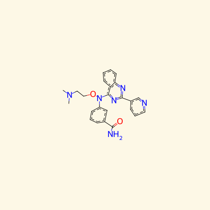 CN(C)CCON(c1cccc(C(N)=O)c1)c1nc(-c2cccnc2)nc2ccccc12